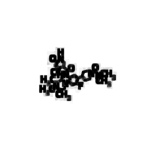 CC1CN(c2cc(F)c(C3=CCN(C(=O)N(C)C)CC3)cc2NC(=O)c2c[nH]c(=O)cc2C(F)(F)F)CC(C)N1C